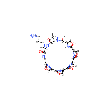 CC1NC(=O)c2coc(n2)-c2coc(n2)-c2coc(n2)-c2coc(n2)-c2coc(n2)CNC(=O)C(CCCCN)NC1=O